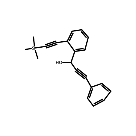 C[Si](C)(C)C#Cc1ccccc1C(O)C#Cc1ccccc1